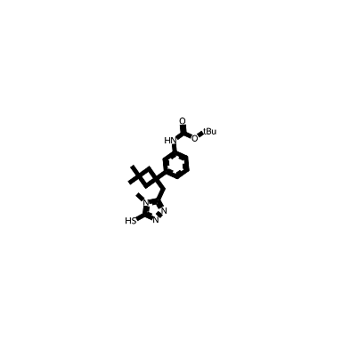 Cn1c(S)nnc1CC1(c2cccc(NC(=O)OC(C)(C)C)c2)CC(C)(C)C1